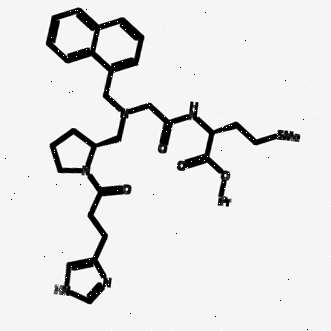 CSCC[C@H](NC(=O)CN(Cc1cccc2ccccc12)C[C@@H]1CCCN1C(=O)CCc1c[nH]cn1)C(=O)OC(C)C